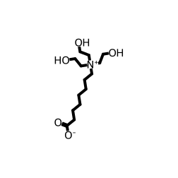 O=C([O-])CCCCCCC[N+](CCO)(CCO)CCO